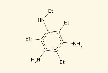 CCNc1c(CC)c(N)c(CC)c(N)c1CC